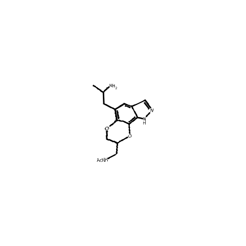 CC(=O)NCC1COc2c(CC(C)N)cc3cn[nH]c3c2O1